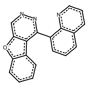 c1cnc2c(-c3nncc4oc5ccccc5c34)cccc2c1